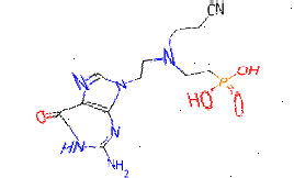 N#CCCN(CCn1cnc2c(=O)[nH]c(N)nc21)CCP(=O)(O)O